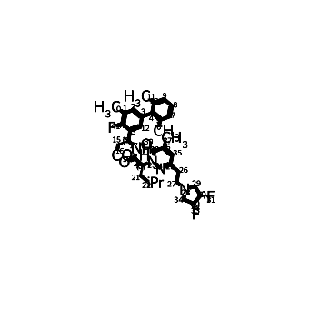 Cc1cc(-c2c(C)cccc2C)cc([C@H](CC(=O)O)NC(=O)[C@H](CC(C)C)n2nc(CCN3C[C@H](F)[C@@H](F)C3)cc(C)c2=O)c1F